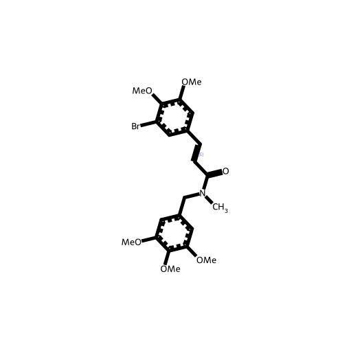 COc1cc(/C=C/C(=O)N(C)Cc2cc(OC)c(OC)c(OC)c2)cc(Br)c1OC